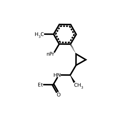 CCCc1c(C)cccc1[C@@H]1CC1[C@@H](C)NC(=O)CC